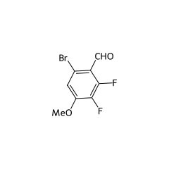 COc1cc(Br)c(C=O)c(F)c1F